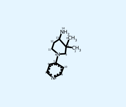 CC1(C)CN(c2ccncc2)CCC1N